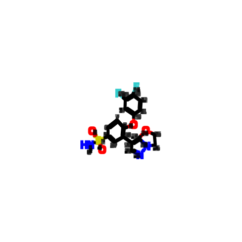 CNS(=O)(=O)c1ccc(Oc2ccc(F)c(F)c2)c(-c2cnn3c2OCC3)c1